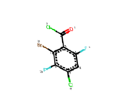 O=C(Cl)c1c(F)cc(Cl)c(F)c1Br